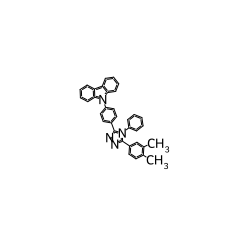 Cc1ccc(-c2nnc(-c3ccc(-n4c5ccccc5c5ccccc54)cc3)n2-c2ccccc2)cc1C